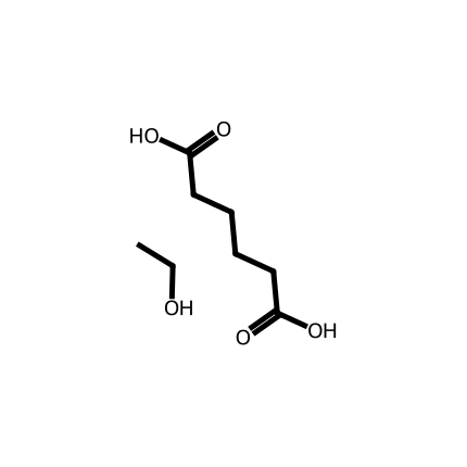 CCO.O=C(O)CCCCC(=O)O